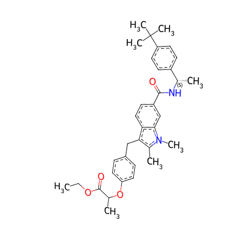 CCOC(=O)C(C)Oc1ccc(Cc2c(C)n(C)c3cc(C(=O)N[C@@H](C)c4ccc(C(C)(C)C)cc4)ccc23)cc1